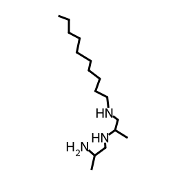 CCCCCCCCCCNCC(C)NCC(C)N